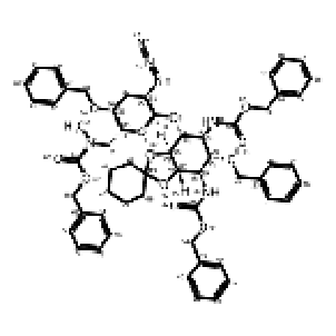 CN(C[C@H]1OC(O[C@@H]2[C@@H](NC(=O)OCc3ccccc3)[C@H](OCc3ccccc3)[C@@H](NC(=O)OCc3ccccc3)[C@@H]3OC4(CCCCC4)O[C@@H]23)[C@H](N=[N+]=[N-])C[C@@H]1OCc1ccccc1)C(=O)OCc1ccccc1